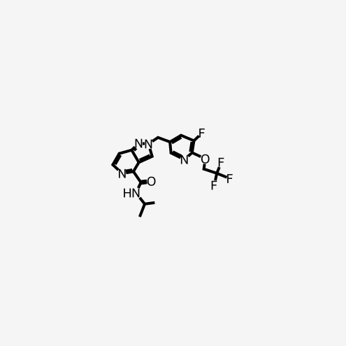 CC(C)NC(=O)c1nccc2nn(Cc3cnc(OCC(F)(F)F)c(F)c3)cc12